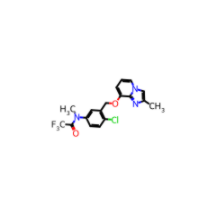 Cc1cn2cccc(OCc3cc(N(C)C(=O)C(F)(F)F)ccc3Cl)c2n1